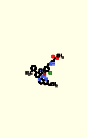 C=Cc1cnc2c(NC3(c4nc5cc(CNCCC(=O)OC)cc(Cl)c5o4)C=CC=C(c4ccccc4C)C3C)nccc2c1